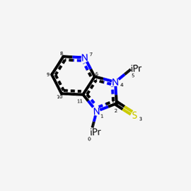 CC(C)n1c(=S)n(C(C)C)c2ncccc21